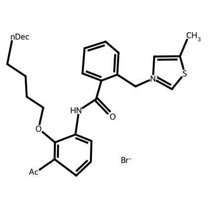 CCCCCCCCCCCCCCOc1c(NC(=O)c2ccccc2C[n+]2csc(C)c2)cccc1C(C)=O.[Br-]